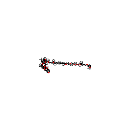 CCC1(OC(=O)CCCC(=O)OCCOCCOCCOCCOCCOCCOC(=O)CCCCC2CCSS2)C(=O)OCC(C=O)=C1/C=C1\NCc2cc3ccccc3nc21